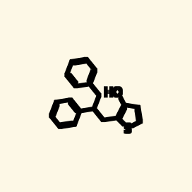 Oc1ccsc1CC(Cc1ccccc1)c1ccccc1